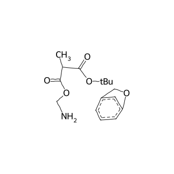 CC(C(=O)OCN)C(=O)OC(C)(C)C.c1cc2cc(c1)OC2